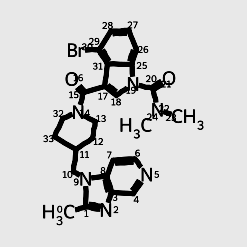 Cc1nc2cnccc2n1CC1CCN(C(=O)c2cn(C(=O)N(C)C)c3cccc(Br)c23)CC1